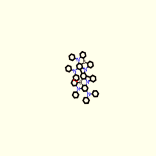 c1ccc(N(c2ccccc2)c2cc3c4c(c2)-n2c5ccccc5c5c2c(cc2c6c(N(c7ccccc7)c7ccccc7)cc7c8c6n(c25)-c2ccccc2B8c2ccccc2N7c2ccccc2)B4c2ccccc2N3c2ccccc2)cc1